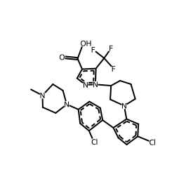 CN1CCN(c2ccc(-c3ccc(Cl)cc3N3CCCC(n4ncc(C(=O)O)c4C(F)(F)F)C3)c(Cl)c2)CC1